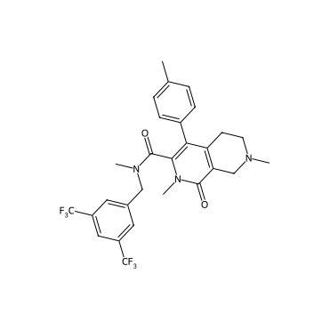 Cc1ccc(-c2c3c(c(=O)n(C)c2C(=O)N(C)Cc2cc(C(F)(F)F)cc(C(F)(F)F)c2)CN(C)CC3)cc1